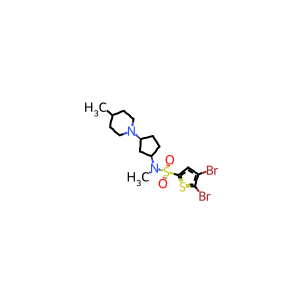 CC1CCN([C@H]2CC[C@@H](N(C)S(=O)(=O)c3cc(Br)c(Br)s3)C2)CC1